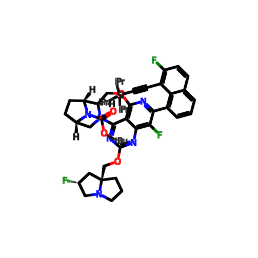 CC(C)[Si](C#Cc1c(F)ccc2cccc(-c3nc4c5c(nc(OC[C@@]67CCCN6C[C@H](F)C7)nc5c3F)N3C[C@@H]5CC[C@H]([C@H]3CO4)N5C(=O)OC(C)(C)C)c12)(C(C)C)C(C)C